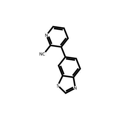 N#Cc1ncccc1-c1ccc2ncsc2c1